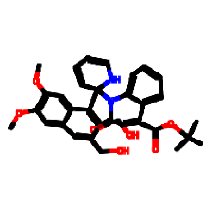 COc1cc2cc(CO)c(CO)c(C3(n4c(=O)cc(C(=O)OC(C)(C)C)c5ccccc54)C=CC=CN3)c2cc1OC